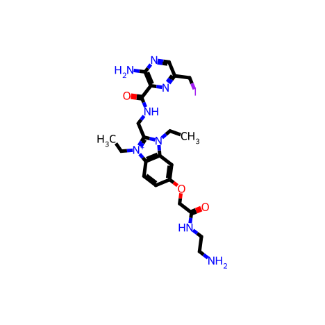 CCn1c(CNC(=O)c2nc(CI)cnc2N)[n+](CC)c2ccc(OCC(=O)NCCN)cc21